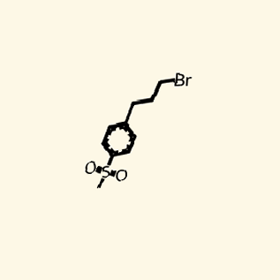 CS(=O)(=O)c1ccc(CCCBr)cc1